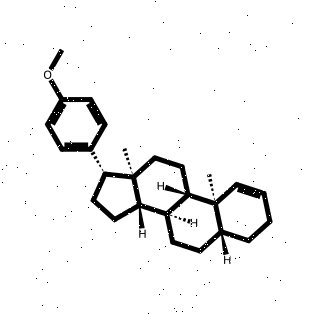 COc1ccc([C@H]2CC[C@H]3[C@@H]4CC[C@H]5CCC=C[C@]5(C)[C@H]4CC[C@]23C)cc1